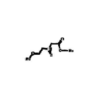 CC(C)(C)OCC[PH](=O)CC(=O)OC(C)(C)C